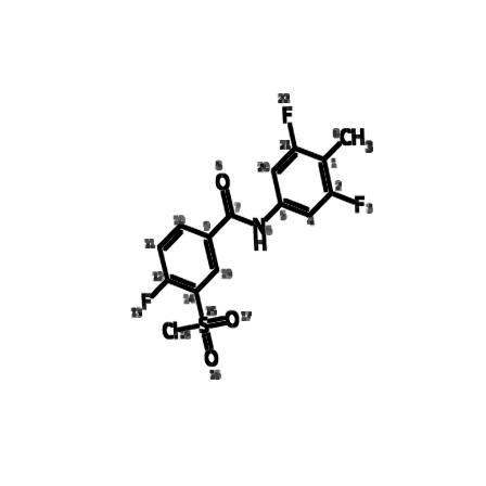 Cc1c(F)cc(NC(=O)c2ccc(F)c(S(=O)(=O)Cl)c2)cc1F